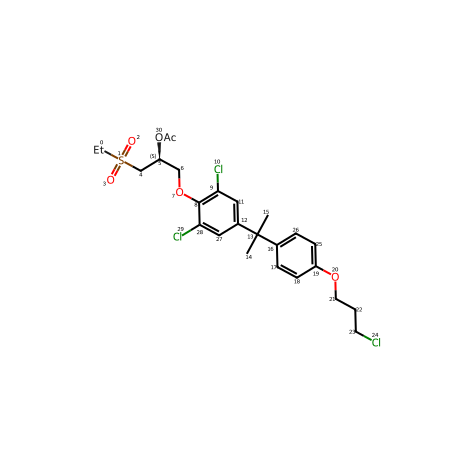 CCS(=O)(=O)C[C@H](COc1c(Cl)cc(C(C)(C)c2ccc(OCCCCl)cc2)cc1Cl)OC(C)=O